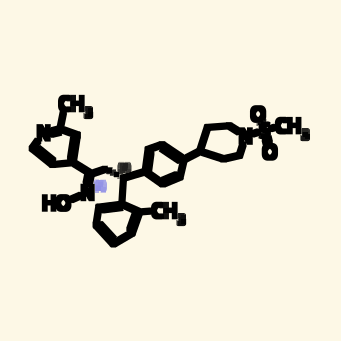 Cc1cc(/C(C[C@H](c2ccc(C3CCN(S(C)(=O)=O)CC3)cc2)c2ccccc2C)=N\O)ccn1